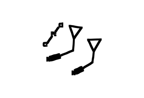 N#CCC1CC1.N#CCC1CC1.[Cl][Pt][Cl]